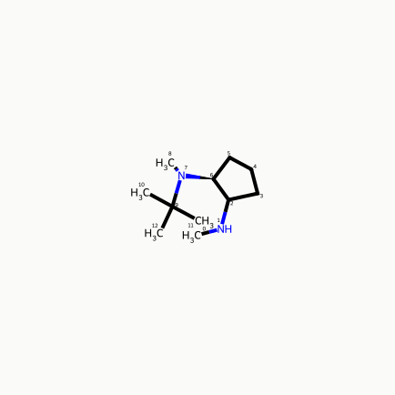 CNC1CCC[C@@H]1N(C)C(C)(C)C